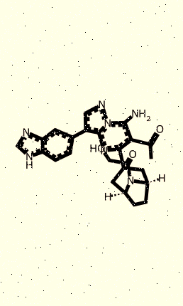 CC(=O)c1c(C2C[C@H]3CC[C@@H](C2)N3C(=O)CO)nc2c(-c3ccc4[nH]cnc4c3)cnn2c1N